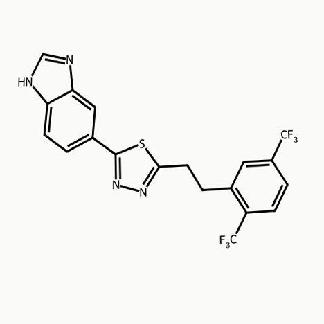 FC(F)(F)c1ccc(C(F)(F)F)c(CCc2nnc(-c3ccc4[nH]cnc4c3)s2)c1